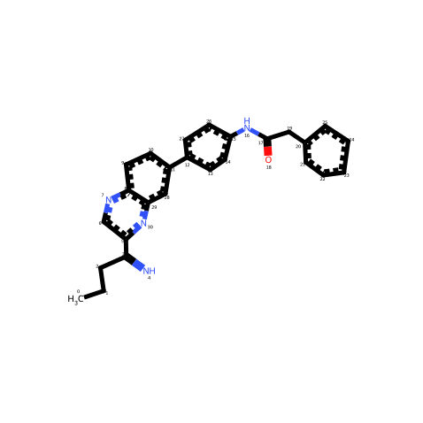 CCCC(=N)c1cnc2ccc(-c3ccc(NC(=O)Cc4ccccc4)cc3)cc2n1